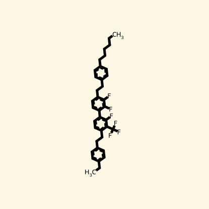 CCCCCCc1ccc(CCc2ccc(-c3ccc(CCc4ccc(CC)cc4)c(C(F)(F)F)c3F)c(F)c2F)cc1